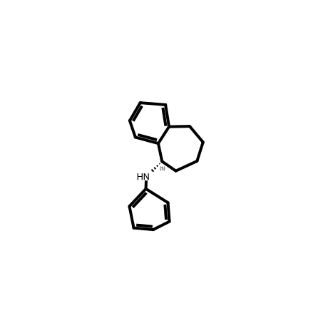 c1ccc(N[C@H]2CCCCc3ccccc32)cc1